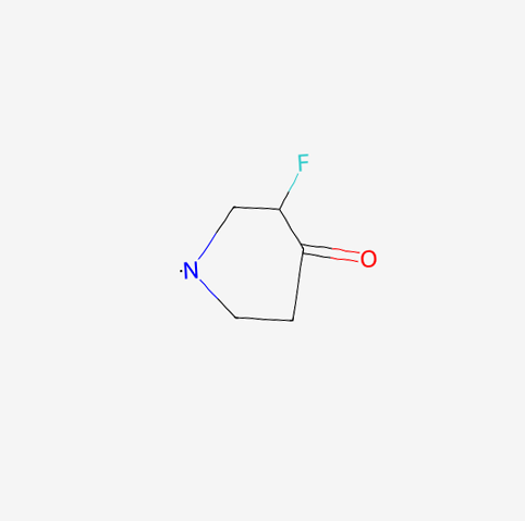 O=C1CC[N]CC1F